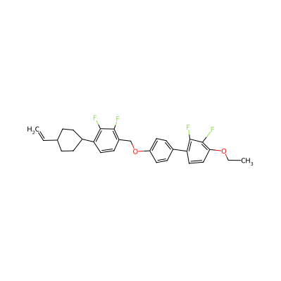 C=CC1CCC(c2ccc(COc3ccc(-c4ccc(OCC)c(F)c4F)cc3)c(F)c2F)CC1